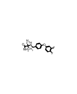 CC(C)(NCc1ccc(Oc2ccc(F)c(F)c2)cc1)C(N)=O